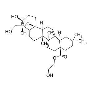 CC1(C)CC[C@]2(C(=O)OCCO)CC[C@]3(C)C(=CC[C@@H]4[C@@]5(C)CC[C@H](O)[C@@](C)(CO)C5CC[C@]43C)[C@H]2C1